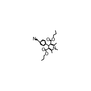 CCCOC(=O)C1=C(C)N(C)C(C)=C(C(=O)OCCC)C1c1ccc(C#N)cc1